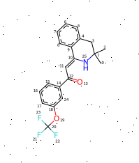 CC1(C)Cc2ccccc2C(=CC(=O)c2cccc(OC(F)(F)F)c2)N1